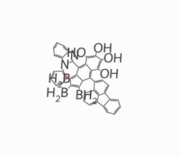 BC1=C(B)C2C(=C1B)C(c1nc3ccccc3n1-c1ccccc1)=c1c(O)c(O)c(O)c(O)c1=C2c1ccc2c3c(cccc13)-c1ccccc1-2